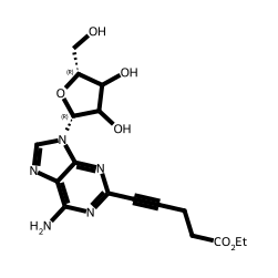 CCOC(=O)CCC#Cc1nc(N)c2ncn([C@@H]3O[C@H](CO)C(O)C3O)c2n1